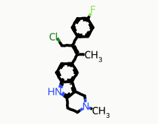 C/C(=C(/CCl)c1ccc(F)cc1)c1ccc2[nH]c3c(c2c1)CN(C)CC3